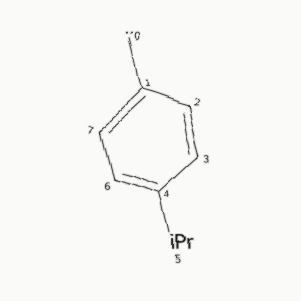 [CH]c1ccc(C(C)C)cc1